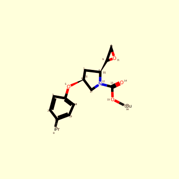 CC(C)c1ccc(O[C@H]2C[C@@H](C3CO3)N(C(=O)OC(C)(C)C)C2)cc1